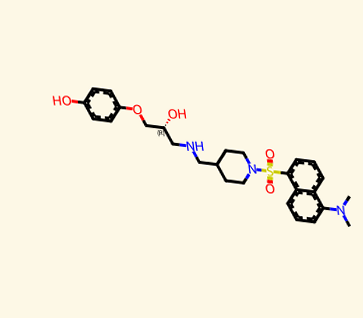 CN(C)c1cccc2c(S(=O)(=O)N3CCC(CNC[C@@H](O)COc4ccc(O)cc4)CC3)cccc12